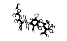 CCOC(=O)NC(=O)/C(C#N)=N/Nc1cc(Cl)c(Oc2cc(C(C)C)c(=O)[nH]n2)c(Cl)c1C